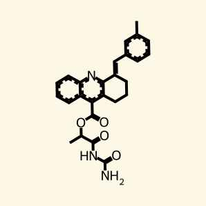 Cc1cccc(/C=C2\CCCc3c2nc2ccccc2c3C(=O)OC(C)C(=O)NC(N)=O)c1